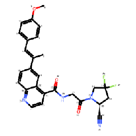 COc1ccc(/C=C(\C)c2ccc3nccc(C(=O)NCC(=O)N4CC(F)(F)C[C@H]4C#N)c3c2)cc1